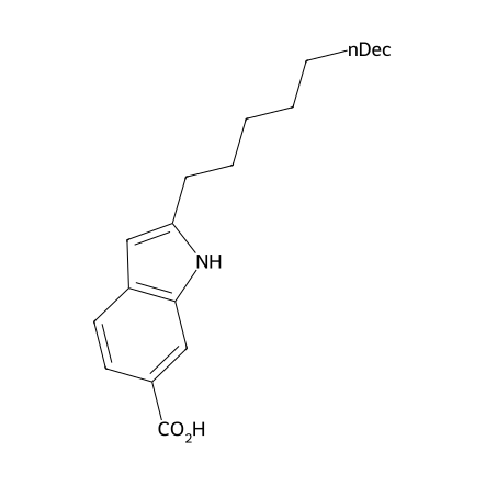 CCCCCCCCCCCCCCCc1cc2ccc(C(=O)O)cc2[nH]1